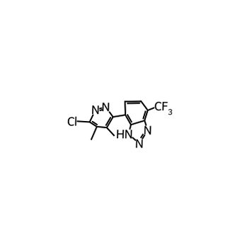 Cc1c(Cl)nnc(-c2ccc(C(F)(F)F)c3nn[nH]c23)c1C